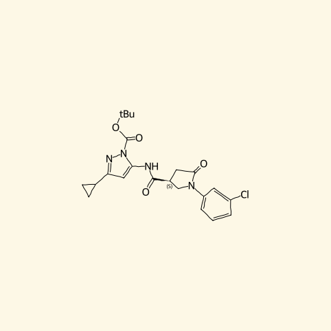 CC(C)(C)OC(=O)n1nc(C2CC2)cc1NC(=O)[C@H]1CC(=O)N(c2cccc(Cl)c2)C1